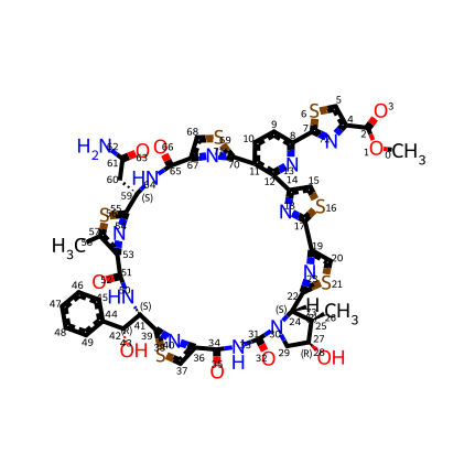 COC(=O)c1csc(-c2ccc3c(n2)-c2csc(n2)-c2csc(n2)[C@@H]2[C@@H](C)[C@@H](O)CN2C(=O)NC(=O)c2csc(n2)[C@H]([C@H](O)c2ccccc2)NC(=O)c2nc(sc2C)[C@H](CC(N)=O)NC(=O)c2csc-3n2)n1